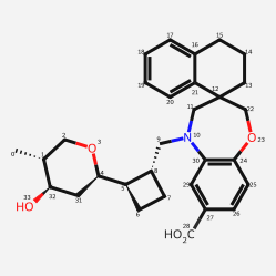 C[C@@H]1CO[C@@H]([C@@H]2CC[C@H]2CN2CC3(CCCc4ccccc43)COc3ccc(C(=O)O)cc32)C[C@H]1O